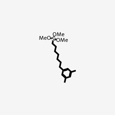 CO[Si](CCCCCCCc1cc(C)cc(C)c1)(OC)OC